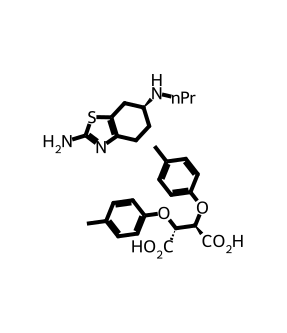 CCCN[C@H]1CCc2nc(N)sc2C1.Cc1ccc(O[C@@H](C(=O)O)[C@@H](Oc2ccc(C)cc2)C(=O)O)cc1